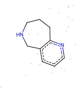 [c]1cnc2c(c1)CNCCC2